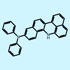 c1ccc(N(c2ccccc2)c2ccc3c4c(ccc3c2)-c2cccc3cccc(c23)N4)cc1